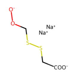 O=C([O-])CSSCO[O-].[Na+].[Na+]